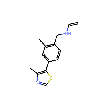 C=CNCc1ccc(-c2scnc2C)cc1C